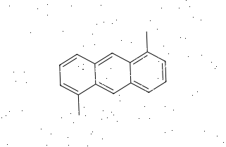 Cc1cccc2cc3c(C)cccc3cc12